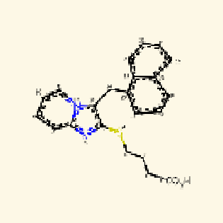 O=C(O)CCCSc1nc2ccccn2c1Cc1cccc2ccccc12